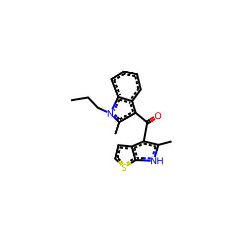 CCCn1c(C)c(C(=O)c2c(C)[nH]c3sccc23)c2ccccc21